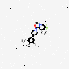 Cc1cc(C2=CCN(C(=O)[C@@H]3[C@@H](C(=O)O)CC(F)(F)CN3C(C)(C)C)CC2)cc(C)c1C#N